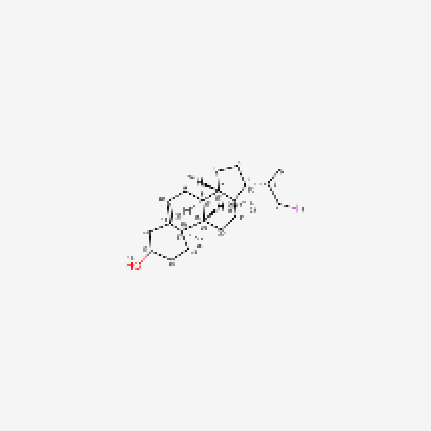 CC(CI)[C@H]1CC[C@H]2[C@@H]3CC=C4CC(O)CC[C@]4(C)[C@H]3CC[C@]12C